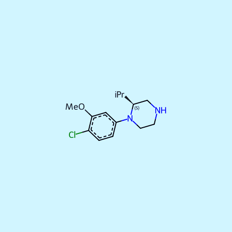 COc1cc(N2CCNC[C@@H]2C(C)C)ccc1Cl